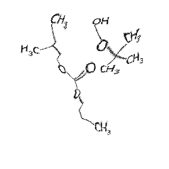 CC(C)(C)OO.CCCOC(=O)OCC(C)C